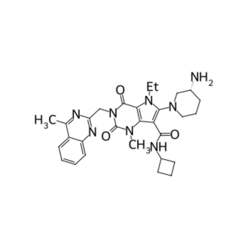 CCn1c(N2CCC[C@@H](N)C2)c(C(=O)NC2CCC2)c2c1c(=O)n(Cc1nc(C)c3ccccc3n1)c(=O)n2C